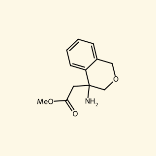 COC(=O)CC1(N)COCc2ccccc21